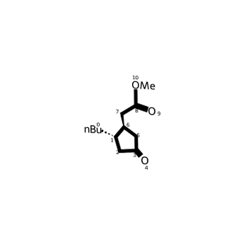 CCCC[C@H]1CC(=O)C[C@@H]1CC(=O)OC